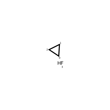 C1CC1.F